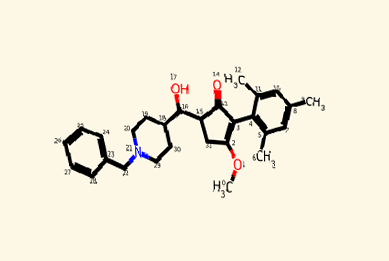 COC1=C(c2c(C)cc(C)cc2C)C(=O)C(C(O)C2CCN(Cc3ccccc3)CC2)C1